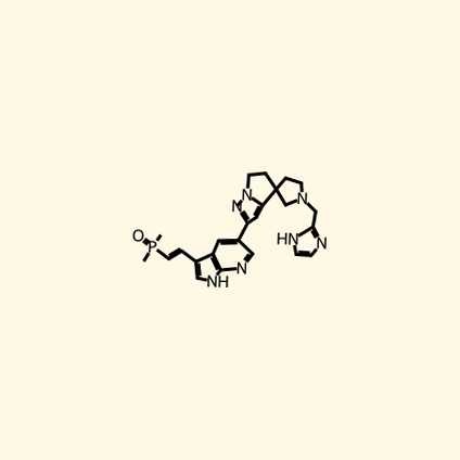 CP(C)(=O)/C=C/c1c[nH]c2ncc(-c3cc4n(n3)CCC43CCN(Cc4ncc[nH]4)C3)cc12